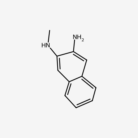 CNc1cc2ccccc2cc1N